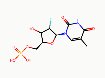 Cc1cn([C@H]2O[C@@H](COP(=O)(O)O)C(O)[C@H]2F)c(=O)[nH]c1=O